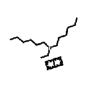 CCCCCCN(CC)CCCCCC.c1cc2ccc1-2